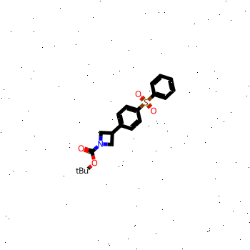 CC(C)(C)OC(=O)N1CC(c2ccc(S(=O)(=O)c3ccccc3)cc2)C1